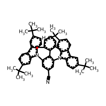 CC(C)(C)c1ccc2c(c1)c1ccc(C(C)(C)C)cc1n2-c1cc(C#N)cc(-n2c3ccc(C(C)(C)C)cc3c3ccc(C(C)(C)C)cc32)c1-c1c(F)cccc1F